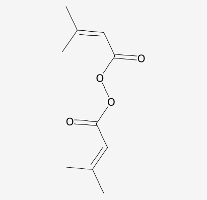 CC(C)=CC(=O)OOC(=O)C=C(C)C